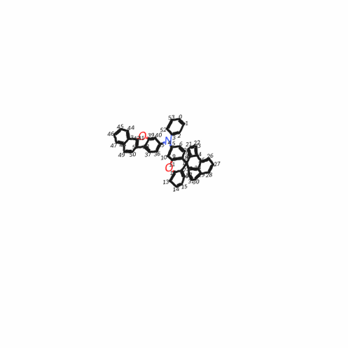 c1ccc(N(c2ccc3c(c2)Oc2ccccc2C32c3ccccc3-c3cccc4cccc2c34)c2ccc3c(c2)oc2c4ccccc4ccc32)cc1